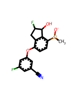 C[S+]([O-])c1ccc(Oc2cc(F)cc(C#N)c2)c2c1C(O)C(F)C2